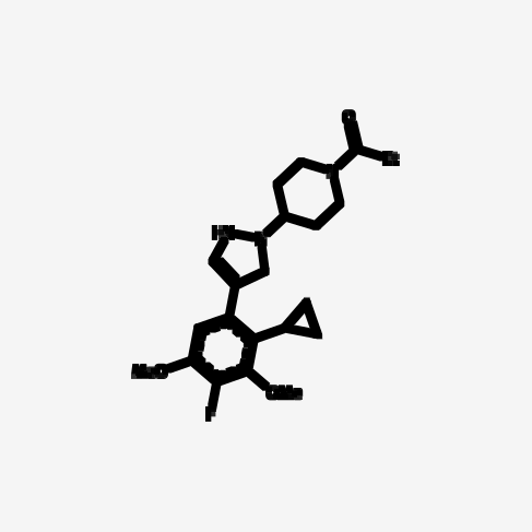 CCC(=O)N1CCC(N2CC(c3cc(OC)c(F)c(OC)c3C3CC3)=CN2)CC1